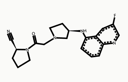 N#C[C@@H]1CCCN1C(=O)CN1CC[C@@H](Nc2cccc3ncc(F)cc23)C1